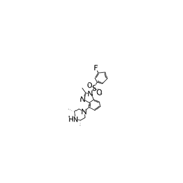 Cc1nc2c(N3C[C@@H](C)N[C@@H](C)C3)cccc2n1S(=O)(=O)c1cccc(F)c1